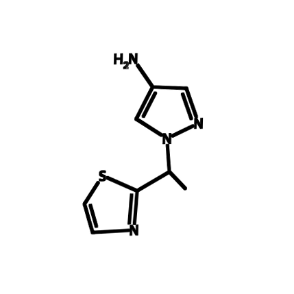 CC(c1nccs1)n1cc(N)cn1